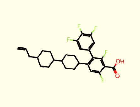 C=CCC1CCC(C2CCC(c3cc(F)c(C(=O)O)c(F)c3-c3cc(F)c(F)c(F)c3)CC2)CC1